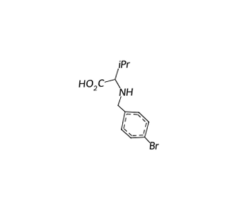 CC(C)C(NCc1ccc(Br)cc1)C(=O)O